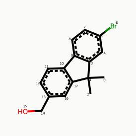 CC1(C)c2cc(Br)ccc2-c2ccc(CO)cc21